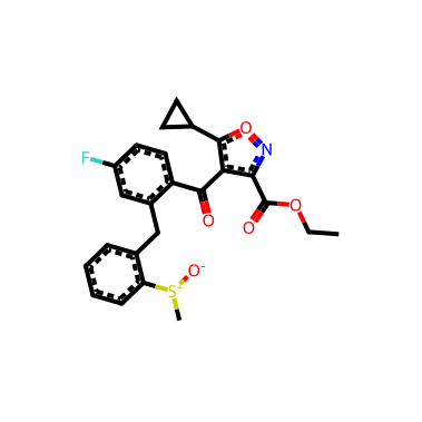 CCOC(=O)c1noc(C2CC2)c1C(=O)c1ccc(F)cc1Cc1ccccc1[S+](C)[O-]